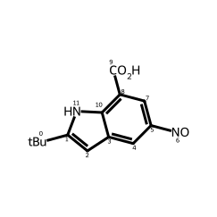 CC(C)(C)c1cc2cc(N=O)cc(C(=O)O)c2[nH]1